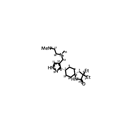 CCC1(CC)C[C@]2(CC[C@@H](c3n[nH]cc3CN(C)CCNC)CC2)NC1=O